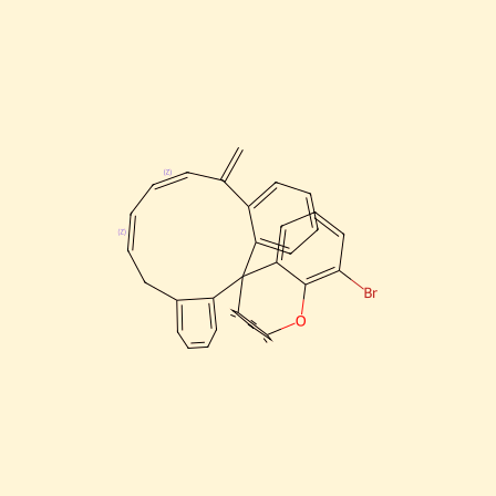 C=C1/C=C\C=C/Cc2ccccc2C2(c3ccccc3Oc3c(Br)cccc32)c2ccccc21